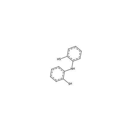 Sc1ccccc1Nc1ccccc1S